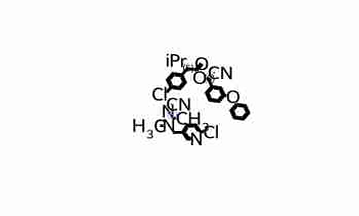 C/C(=N\C#N)N(C)Cc1ccc(Cl)nc1.CC(C)[C@H](C(=O)O[C@H](C#N)c1cccc(Oc2ccccc2)c1)c1ccc(Cl)cc1